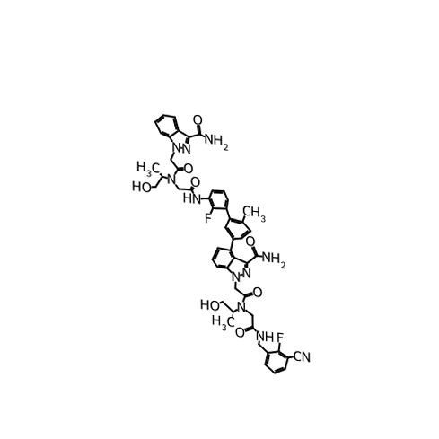 Cc1ccc(-c2cccc3c2c(C(N)=O)nn3CC(=O)N(CC(=O)NCc2cccc(C#N)c2F)[C@H](C)CO)cc1-c1cccc(NC(=O)CN(C(=O)Cn2nc(C(N)=O)c3ccccc32)[C@H](C)CO)c1F